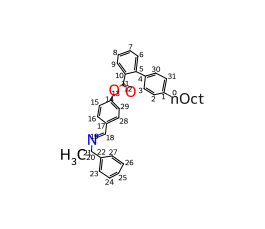 CCCCCCCCc1ccc(-c2ccccc2C(=O)Oc2ccc(C=N[C@@H](C)c3ccccc3)cc2)cc1